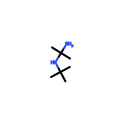 CC(C)(C)NC(C)(C)N